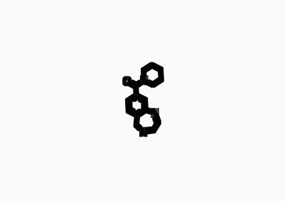 O=C(c1ccc2c(c1)N=CC=NC2)N1CCCCC1